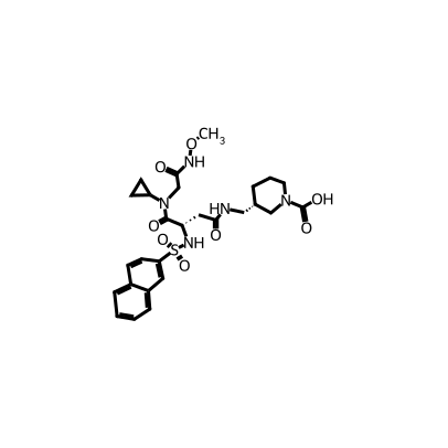 CONC(=O)CN(C(=O)[C@H](CC(=O)NC[C@@H]1CCCN(C(=O)O)C1)NS(=O)(=O)c1ccc2ccccc2c1)C1CC1